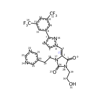 O=C1/C(=C/n2cnc(-c3cc(C(F)(F)F)cc(C(F)(F)F)c3)n2)N(CCc2cncnc2)C(=O)N1CCO